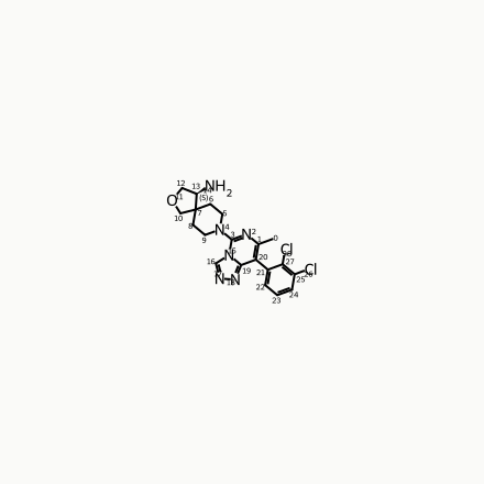 Cc1nc(N2CCC3(CC2)COC[C@H]3N)n2cnnc2c1-c1cccc(Cl)c1Cl